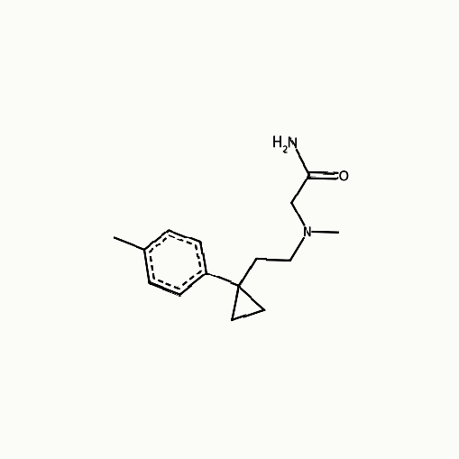 Cc1ccc(C2(CCN(C)CC(N)=O)CC2)cc1